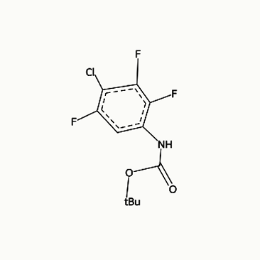 CC(C)(C)OC(=O)Nc1cc(F)c(Cl)c(F)c1F